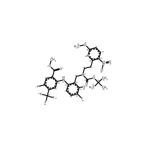 COC(=O)c1cc(F)c(C(F)(F)F)cc1Nc1ccc(F)c(Cl)c1CN(CCc1nc(OC)ccc1[N+](=O)[O-])C(=O)OC(C)(C)C